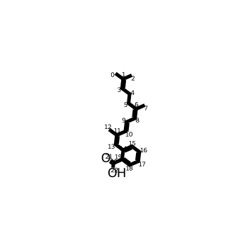 CC(C)=CCCC(C)=CC=CC(C)=Cc1ccccc1C(=O)O